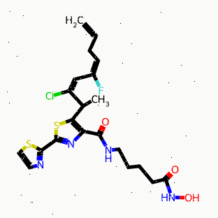 C=CC/C=C(F)\C=C(\Cl)C(C)c1sc(-c2nccs2)nc1C(=O)NCCCCC(=O)NO